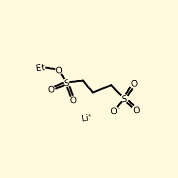 CCOS(=O)(=O)CCCS(=O)(=O)[O-].[Li+]